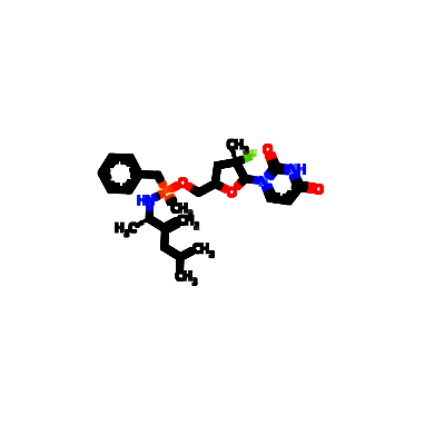 C=C(CC(C)C)[C@H](C)NP(=C)(Cc1ccccc1)OCC1C[C@@](C)(F)C(n2ccc(=O)[nH]c2=O)O1